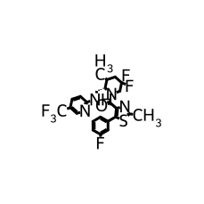 Cc1nc(C(=O)N2CC(F)(F)CC(C)[C@H]2CNc2ccc(C(F)(F)F)cn2)c(-c2cccc(F)c2)s1